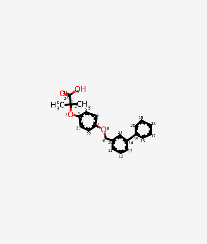 CC(C)(Oc1ccc(OCc2cccc(-c3ccccc3)c2)cc1)C(=O)O